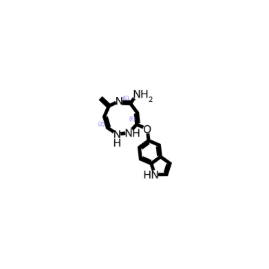 C=C1/C=C\NN/C(Oc2ccc3[nH]ccc3c2)=C\C(N)=N/1